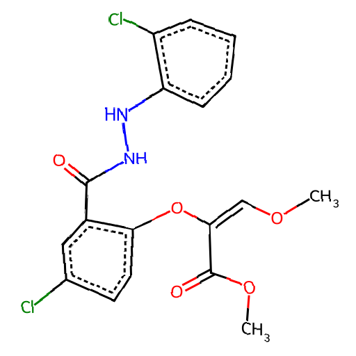 CO/C=C(/Oc1ccc(Cl)cc1C(=O)NNc1ccccc1Cl)C(=O)OC